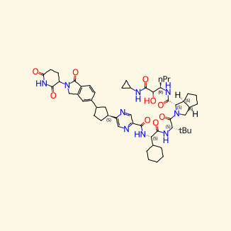 CCC[C@@H](NC(=O)[C@@H]1[C@H]2CCC[C@H]2CN1C(=O)[C@@H](NC(=O)[C@@H](NC(=O)c1cnc([C@H]2CCC(c3ccc4c(c3)CN(C3CCC(=O)NC3=O)C4=O)C2)cn1)C1CCCCC1)C(C)(C)C)C(O)C(=O)NC1CC1